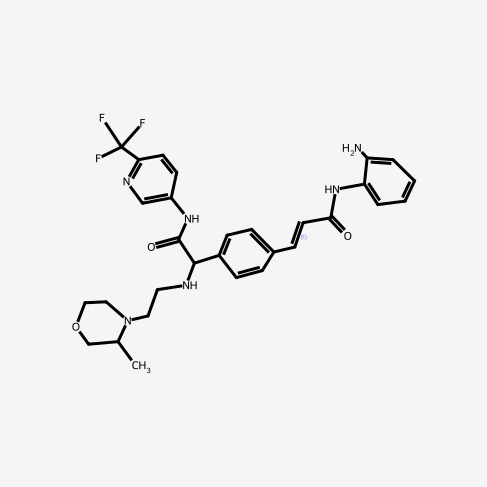 CC1COCCN1CCNC(C(=O)Nc1ccc(C(F)(F)F)nc1)c1ccc(/C=C/C(=O)Nc2ccccc2N)cc1